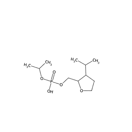 CC(C)OP(=O)(O)OCC1OCCC1C(C)C